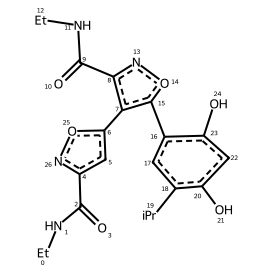 CCNC(=O)c1cc(-c2c(C(=O)NCC)noc2-c2cc(C(C)C)c(O)cc2O)on1